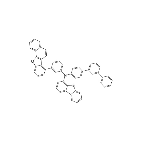 c1ccc(-c2cccc(-c3ccc(N(c4cccc(-c5cccc6oc7c8ccccc8ccc7c56)c4)c4cccc5c4sc4ccccc45)cc3)c2)cc1